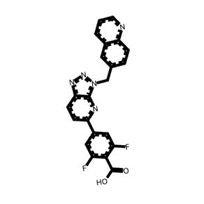 O=C(O)c1c(F)cc(-c2ccc3nnn(Cc4ccc5ncccc5c4)c3n2)cc1F